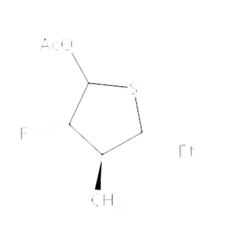 CC[C@H]1SC(OC(C)=O)[C@@H](F)[C@@H]1C